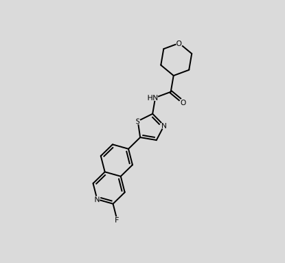 O=C(Nc1ncc(-c2ccc3cnc(F)cc3c2)s1)C1CCOCC1